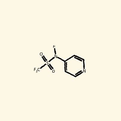 O=S(=O)(N(F)c1ccncc1)C(F)(F)F